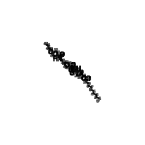 CCCCCCCCCCCC(=O)OCc1ccc(C(=O)NS(=O)(=O)c2ccc(CCNC(=O)c3ccc(OCCCC)cc3)cc2)cn1